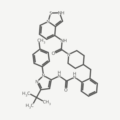 Cc1ccc(-n2nc(C(C)(C)C)cc2NC(=O)Nc2ccccc2CC2CCN(C(=O)NC3=CC=CN4SNC=C34)CC2)cc1